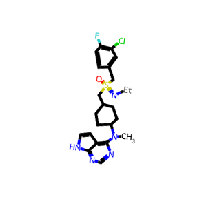 CCN=S(=O)(Cc1ccc(F)c(Cl)c1)CC1CCC(N(C)c2ncnc3[nH]ccc23)CC1